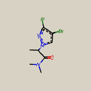 CC(C(=O)N(C)C)n1cc(Br)c(Br)n1